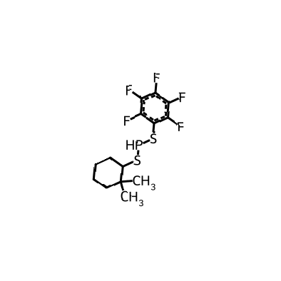 CC1(C)CCCCC1SPSc1c(F)c(F)c(F)c(F)c1F